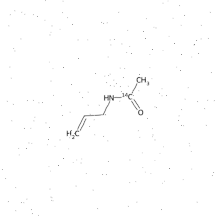 C=C[CH]N[14C](C)=O